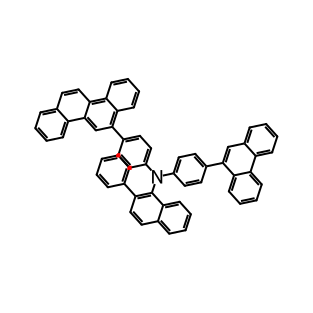 c1ccc(-c2ccc3ccccc3c2N(c2ccc(-c3cc4ccccc4c4ccccc34)cc2)c2ccc(-c3cc4c5ccccc5ccc4c4ccccc34)cc2)cc1